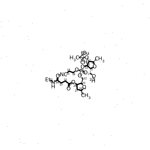 [2H]OC[C@H]1O[C@@H](C)[C@@H](O[Si](C)(C)C(C)(C)C)C1OP(=O)(OCCC#N)OC[C@H]1O[C@@H](C)CC1OC(=O)CCC(=O)NCC